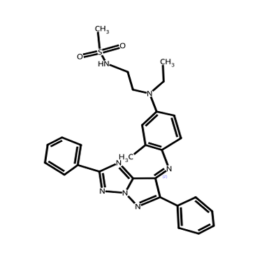 CCN(CCNS(C)(=O)=O)c1ccc(/N=C2/C(c3ccccc3)=Nn3nc(-c4ccccc4)nc32)c(C)c1